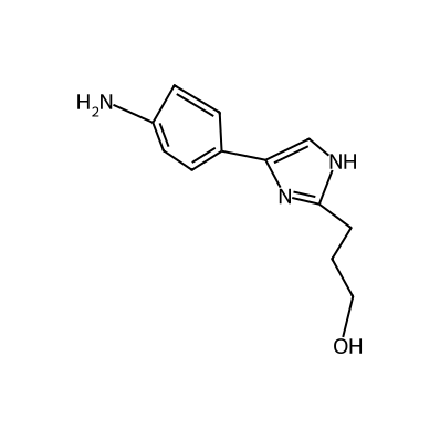 Nc1ccc(-c2c[nH]c(CCCO)n2)cc1